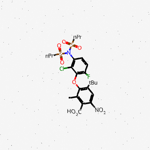 CCCS(=O)(=O)N(c1ccc(F)c(Oc2c(C(C)(C)C)cc([N+](=O)[O-])c(C(=O)O)c2C)c1Cl)S(=O)(=O)CCC